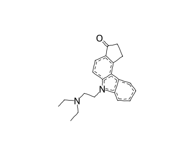 CCN(CC)CCn1c2ccccc2c2c3c(ccc21)C(=O)CC3